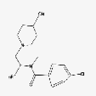 CCCC(CN1CCC(O)CC1)N(C)C(=O)c1ccc(Cl)cc1